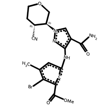 COC(=O)c1cc(Nc2nn([C@@H]3COCC[C@H]3C#N)cc2C(N)=O)cc(C)c1Br